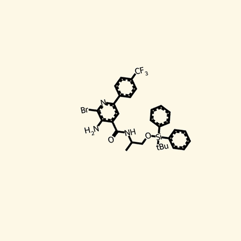 CC(CO[Si](c1ccccc1)(c1ccccc1)C(C)(C)C)NC(=O)c1cc(-c2ccc(C(F)(F)F)cc2)nc(Br)c1N